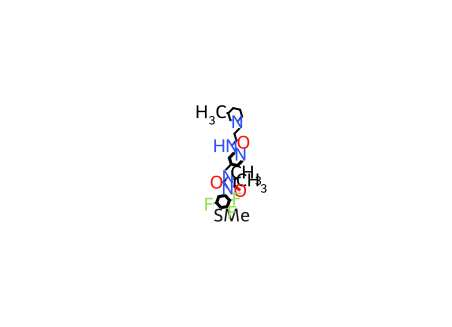 CSc1c(F)cc(N2C(=O)N(Cc3ccnc(NC(=O)CCN4CCCC(C)C4)c3)C(C)(C)C2=O)c(F)c1F